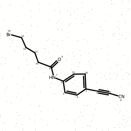 N#CC#Cc1ccc(NC(=O)CCCCBr)cc1